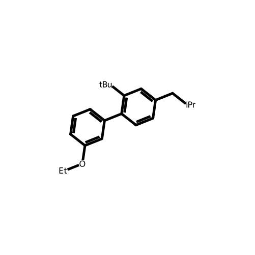 CCOc1cccc(-c2ccc(CC(C)C)cc2C(C)(C)C)c1